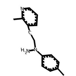 Cc1ccc(N(N)CCc2cccnc2C)cc1